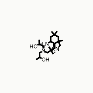 CC(O)CN(CC(C)O)CC(C)(C)C=C1C(N)CC(C)(C)CC1(C)CN